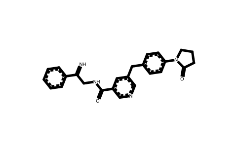 N=C(CNC(=O)c1cncc(Cc2ccc(N3CCCC3=O)cc2)c1)c1ccccc1